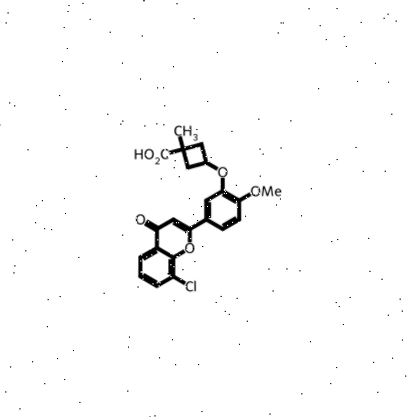 COc1ccc(-c2cc(=O)c3cccc(Cl)c3o2)cc1OC1CC(C)(C(=O)O)C1